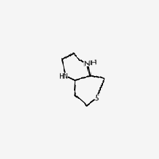 C1CNC2CSCCC2N1